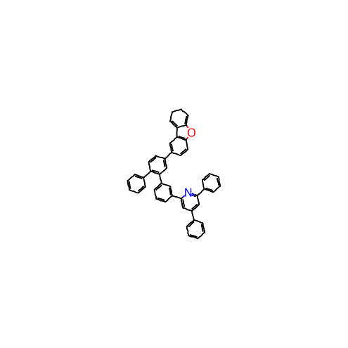 C1=c2oc3ccc(-c4ccc(-c5ccccc5)c(-c5cccc(-c6cc(-c7ccccc7)cc(-c7ccccc7)n6)c5)c4)cc3c2=CCC1